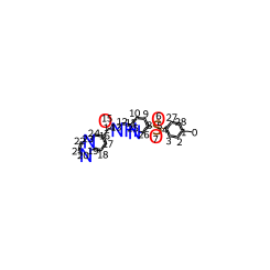 Cc1ccc(S(=O)(=O)c2ccc(CNC(=O)c3ccc4nccn4c3)nc2)cc1